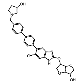 OC1CCN(Cc2ccc(-c3ccc(-c4cc5nc(OC6COC7C(O)COC67)[nH]c5cc4Cl)cc3)cc2)C1